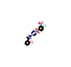 COc1ccccc1-c1csc(N2CCN(S(=O)(=O)c3ccc(Cl)c([N+](=O)[O-])c3)CC2)n1